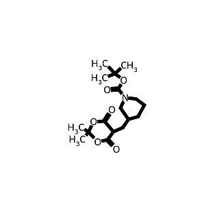 CC(C)(C)OC(=O)N1CCCC(CC2C(=O)OC(C)(C)OC2=O)C1